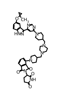 CC1(Oc2ccc3[nH]nc(-c4cc(N5CCC(CN6CCN(CC7CCN(c8cccc9c8C(=O)N(C8CCC(=O)NC8=O)C9=O)CC7)CC6)CC5)ncn4)c3c2)CC1